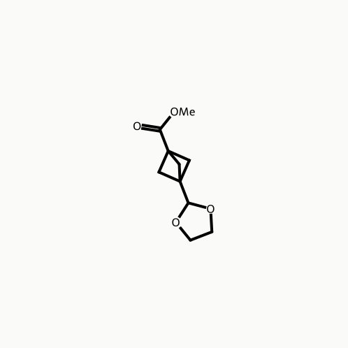 COC(=O)C12CC(C3OCCO3)(C1)C2